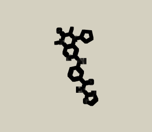 CC1C(=O)N(C)c2cnc(Nc3cccc(C(=O)Nc4ncco4)c3)cc2N1C1CCCC1